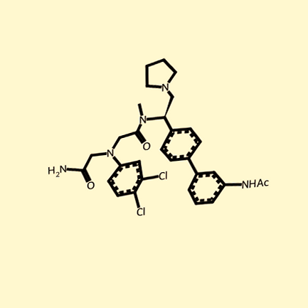 CC(=O)Nc1cccc(-c2ccc([C@H](CN3CCCC3)N(C)C(=O)CN(CC(N)=O)c3ccc(Cl)c(Cl)c3)cc2)c1